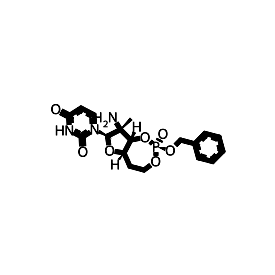 C[C@@]1(N)[C@@H]2O[P@@](=O)(OCc3ccccc3)OCC[C@H]2O[C@H]1n1ccc(=O)[nH]c1=O